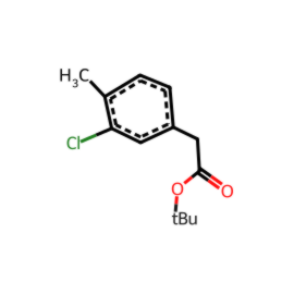 Cc1ccc(CC(=O)OC(C)(C)C)cc1Cl